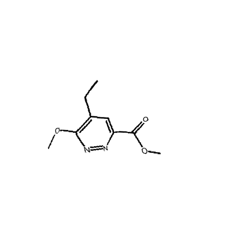 CCc1cc(C(=O)OC)nnc1OC